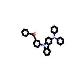 c1ccc(C2OC2c2cccc(-n3c4ccccc4c4cc(N(c5ccccc5)c5ccccc5)ccc43)c2)cc1